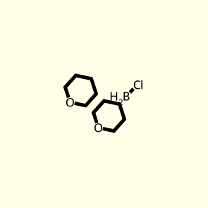 BCl.C1CCOCC1.C1CCOCC1